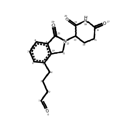 O=CCCCc1cccc2c1CN(C1CCC(=O)NC1=O)C2=O